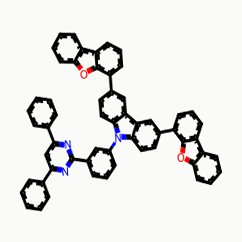 c1ccc(-c2cc(-c3ccccc3)nc(-c3cccc(-n4c5ccc(-c6cccc7c6oc6ccccc67)cc5c5cc(-c6cccc7c6oc6ccccc67)ccc54)c3)n2)cc1